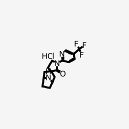 Cl.O=C1N(c2ccc(C(F)(F)F)cn2)CCC12CC1CCC(C2)N1